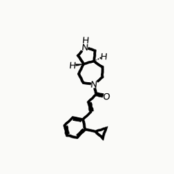 O=C(/C=C/c1ccccc1C1CC1)N1CC[C@@H]2CNC[C@H]2CC1